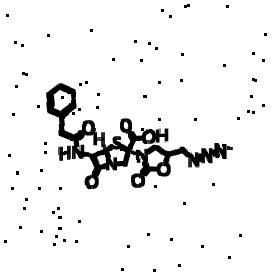 [N-]=[N+]=NCC1CN([C@]2(C(=O)O)CN3C(=O)[C@@H](NC(=O)Cc4ccccc4)[C@H]3S2)C(=O)O1